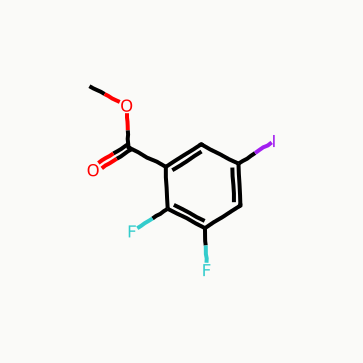 COC(=O)c1cc(I)cc(F)c1F